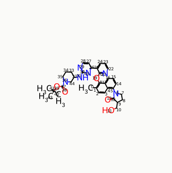 Cc1ccc2c(N3CCC(CO)C3=O)cccc2c1Oc1ncccc1-c1ccnc(NC2CCCN(C(=O)OC(C)(C)C)C2)n1